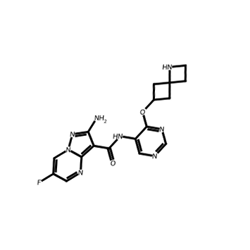 Nc1nn2cc(F)cnc2c1C(=O)Nc1cncnc1OC1CC2(CCN2)C1